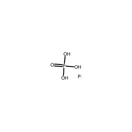 O=P(O)(O)O.[P]